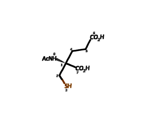 CC(=O)N[C@](CS)(CCC(=O)O)C(=O)O